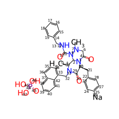 C[C@H]1C2N(C(=O)CN(C)N2C(=O)NCc2ccccc2)[C@@H](Cc2cc[c]([Na])cc2)C(=O)N1Cc1cccc2ccccc12.O=P(O)(O)O